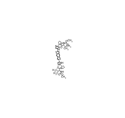 COC(=O)NC(C(=O)N1CCCC1c1ncc(-c2cc3cc4sc(-c5cnc(C6CCCN6C(=O)C(NC(=O)OC)C(C)C)[nH]5)cc4cc3s2)[nH]1)C(C)C